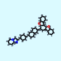 c1ccc2c(c1)oc1c2cc(-c2ccc3cc(-c4ccc(-c5cn6ccccc6n5)cc4)ccc3c2)c2oc3ccccc3c21